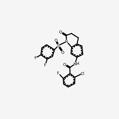 O=C(Nc1ccc2c(c1)N(S(=O)(=O)c1ccc(F)c(F)c1)C(=O)CC2)c1c(F)cccc1Cl